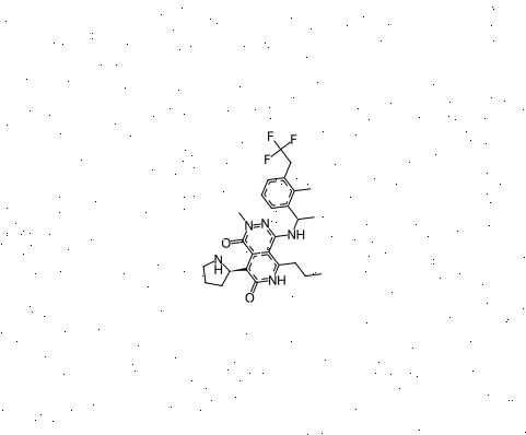 CCCc1[nH]c(=O)c([C@H]2CCCN2)c2c(=O)n(C)nc(NC(C)c3cccc(CC(F)(F)F)c3C)c12